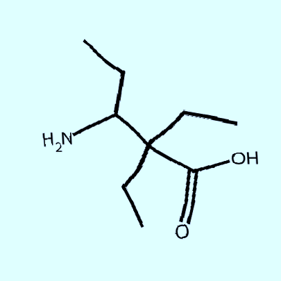 CCC(N)C(CC)(CC)C(=O)O